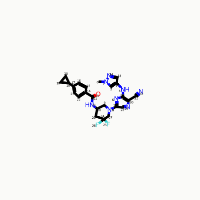 Cn1cc(Nc2nc(N3CC(NC(=O)c4ccc(C5CC5)cc4)CC(F)(F)C3)cnc2C#N)cn1